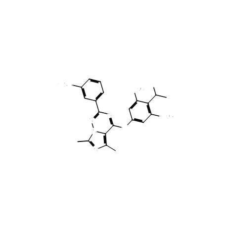 COc1cc(Oc2nc(-c3cccc(NC(C)=O)c3)nn3c(C)nc(C)c23)cc(OC)c1C(C)O